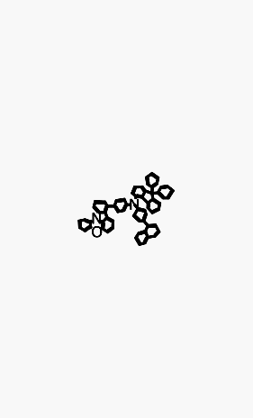 c1ccc(C2(c3ccccc3)c3ccccc3-c3c(N(c4ccc(-c5cccc6ccccc56)cc4)c4ccc(-c5cccc6c5c5cccc7c5n6-c5ccccc5O7)cc4)cccc32)cc1